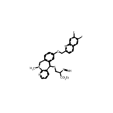 CCOC(=O)C(CSC1c2cc(OCc3ccc4cc(F)c(F)cc4n3)ccc2CN(C)c2ncccc21)N=N